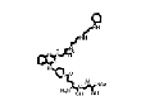 COC(O)[C@@H](N)COC(O)[C@@H](N)CCC(=O)N1CCC(Nc2nc(NCc3cn(CCCNCCCNC4CCCCC4)nn3)nc3ccccc23)CC1